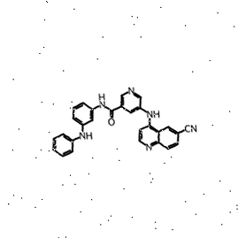 N#Cc1ccc2nccc(Nc3cncc(C(=O)Nc4cccc(Nc5ccccc5)c4)c3)c2c1